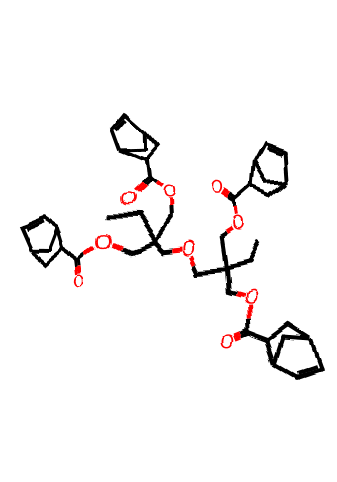 CCC(COCC(CC)(COC(=O)C1CC2C=CC1C2)COC(=O)C1CC2C=CC1C2)(COC(=O)C1CC2C=CC1C2)COC(=O)C1CC2C=CC1C2